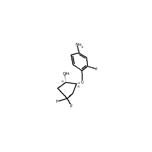 Nc1ccc(O[C@@H]2CC(F)(F)C[C@@H]2O)c(F)c1